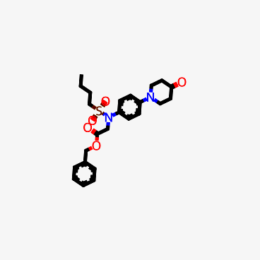 CCCCS(=O)(=O)N(CC(=O)OCc1ccccc1)c1ccc(N2CCC(=O)CC2)cc1